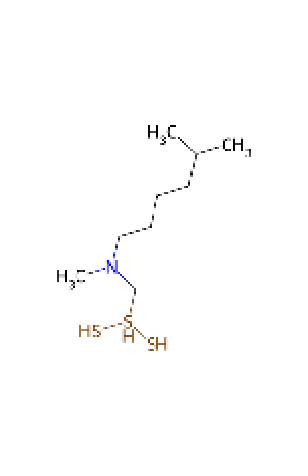 CC(C)CCCCN(C)C[SH](S)S